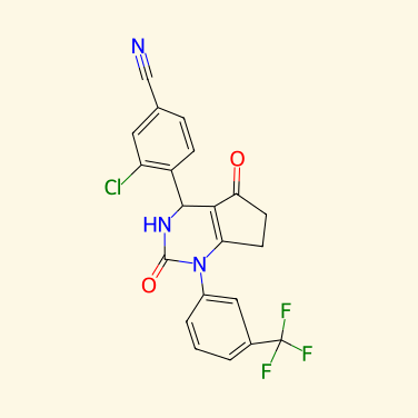 N#Cc1ccc(C2NC(=O)N(c3cccc(C(F)(F)F)c3)C3=C2C(=O)CC3)c(Cl)c1